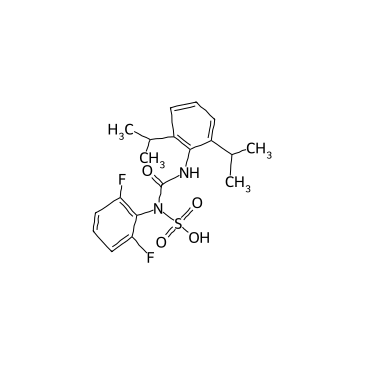 CC(C)c1cccc(C(C)C)c1NC(=O)N(c1c(F)cccc1F)S(=O)(=O)O